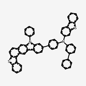 c1ccc(-c2cccc(N(c3ccc(-c4ccc5c6cc7c(ccc8sc9ccccc9c87)cc6n(-c6ccccc6)c5c4)cc3)c3ccc4c(c3)sc3ccccc34)c2)cc1